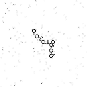 Cc1ccc2nc(N3CCN(c4ccccn4)CC3)nc(NCc3ccc(NC(=O)C4CCN(Cc5ccccc5)CC4)cc3)c2c1